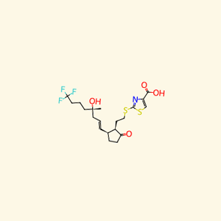 C[C@@](O)(C/C=C/[C@@H]1CCC(=O)[C@@H]1CCSc1nc(C(=O)O)cs1)CCCC(F)(F)F